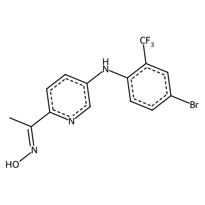 CC(=NO)c1ccc(Nc2ccc(Br)cc2C(F)(F)F)cn1